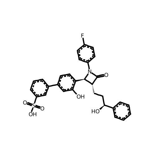 O=C1[C@H](CC[C@H](O)c2ccccc2)[C@@H](c2ccc(-c3cccc(S(=O)(=O)O)c3)cc2O)N1c1ccc(F)cc1